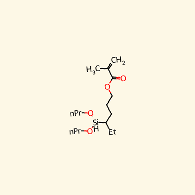 C=C(C)C(=O)OCCCC(CC)[SiH](OCCC)OCCC